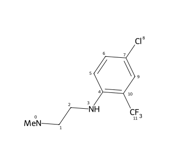 CNCCNc1ccc(Cl)cc1C(F)(F)F